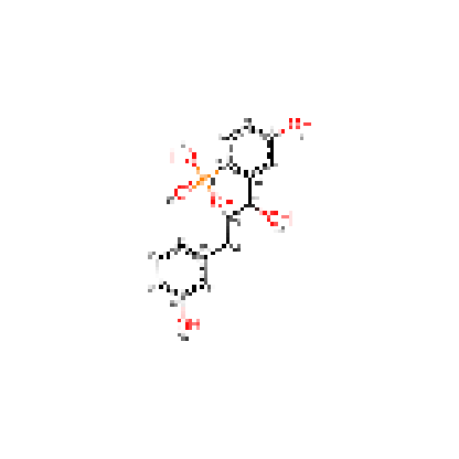 O=P(O)(O)c1ccc(O)cc1C(O)CCc1cccc(O)c1